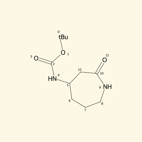 CC(C)(C)OC(=O)NC1CCCNC(=O)C1